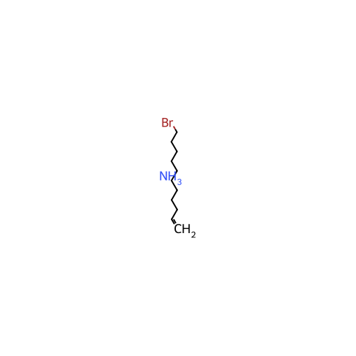 C=CCCCCCCCCCBr.N